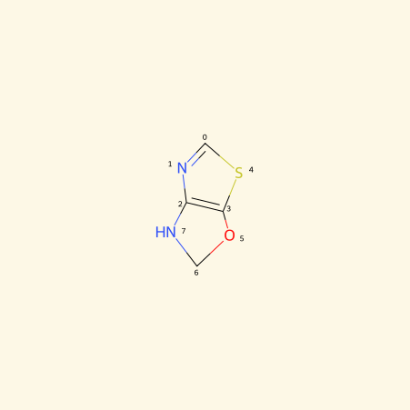 c1nc2c(s1)OCN2